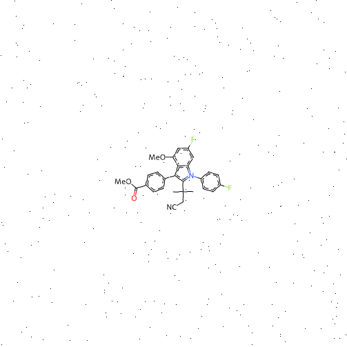 COC(=O)c1ccc(-c2c(C(C)(C)CC#N)n(-c3ccc(F)cc3)c3cc(F)cc(OC)c23)cc1